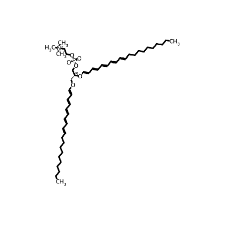 CCCCCCCCCCC=CC=CC=CC=CC=COC[C@H](COP(=O)([O-])OCC[N+](C)(C)C)OC=CC=CC=CC=CC=CCCCCCCCCCC